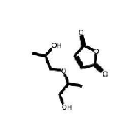 CC(O)COC(C)CO.O=C1C=CC(=O)O1